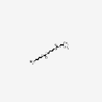 CCCCCOC(=O)OC[CH]CCOC(=O)OCC(C)C